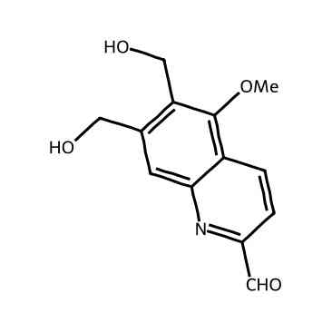 COc1c(CO)c(CO)cc2nc(C=O)ccc12